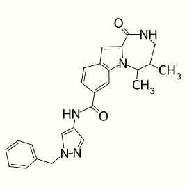 CC1CNC(=O)c2cc3ccc(C(=O)Nc4cnn(Cc5ccccc5)c4)cc3n2C1C